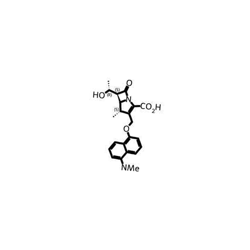 CNc1cccc2c(OCC3=C(C(=O)O)N4C(=O)[C@H]([C@@H](C)O)C4[C@H]3C)cccc12